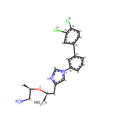 C[C@H](CN)O[C@@H](Cc1cn(-c2cccc(-c3ccc(Cl)c(Cl)c3)c2)cn1)C(=O)O